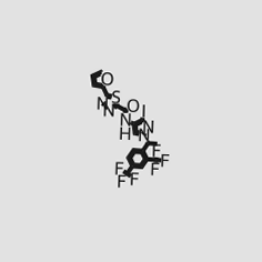 CC(c1ccc(C(F)(F)F)cc1C(F)(F)F)n1cc(NC(=O)c2nnc(-c3ccco3)s2)c(I)n1